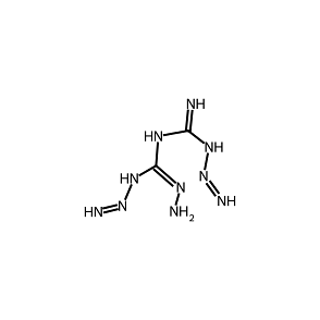 N=NNC(=N)NC(=NN)NN=N